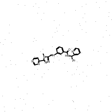 CC(C)C(NC(=O)c1cccc(NCc2nnc(-c3ccncn3)n2C)c1)c1ccccn1